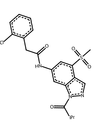 CC(C)C(=O)n1ncc2c(S(C)(=O)=O)cc(NC(=O)Cc3ccccc3Cl)cc21